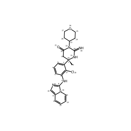 C[C@@]1(c2cccc(Nc3ncc4ccccn34)c2Cl)CC(=O)N(C2CCOCC2)C(=N)N1